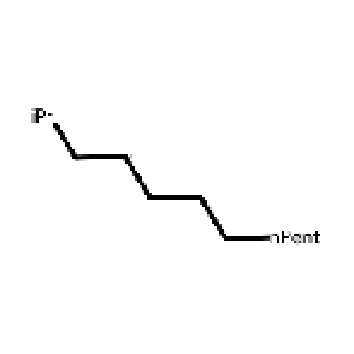 CCCCCCCC[CH]CC(C)C